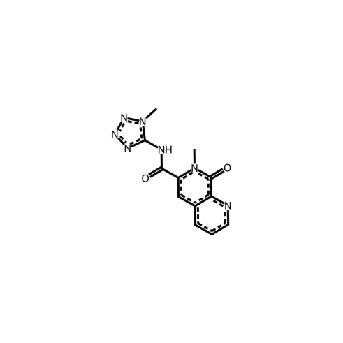 Cn1nnnc1NC(=O)c1cc2cccnc2c(=O)n1C